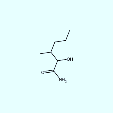 CCCC(C)C(O)C(N)=O